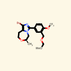 COCOCc1cc(-c2nc(Br)c3n2C[C@@H](C)OCC3)ccc1OC(F)(F)F